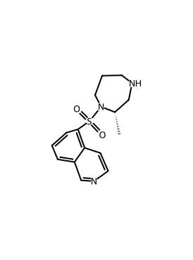 C[C@H]1CNCCCN1S(=O)(=O)c1cccc2cnccc12